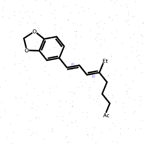 CC/C(=C\C=C\c1ccc2c(c1)OCO2)CCCC(C)=O